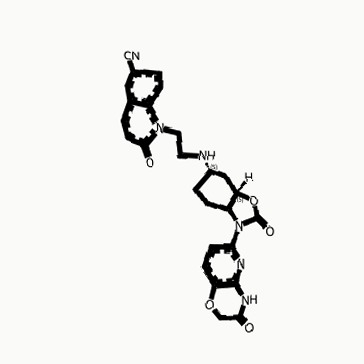 N#Cc1ccc2c(ccc(=O)n2CCN[C@H]2CCC3[C@H](C2)OC(=O)N3c2ccc3c(n2)NC(=O)CO3)c1